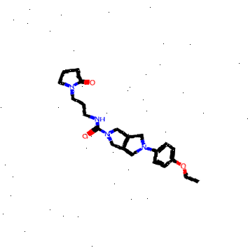 CCOc1ccc(N2CC3CN(C(=O)NCCCN4CCCC4=O)CC3C2)cc1